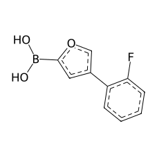 OB(O)c1cc(-c2ccccc2F)co1